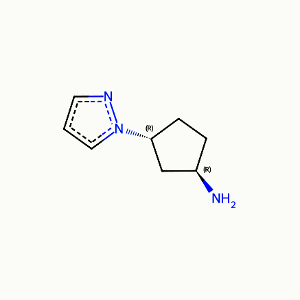 N[C@@H]1CC[C@@H](n2cccn2)C1